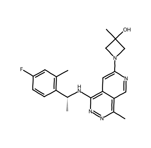 Cc1cc(F)ccc1[C@@H](C)Nc1nnc(C)c2cnc(N3CC(C)(O)C3)cc12